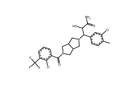 Cc1ccc(C(C(O)C(N)=O)N2CC3CN(C(=O)c4cccc(C(F)(F)F)c4Cl)CC3C2)cc1Cl